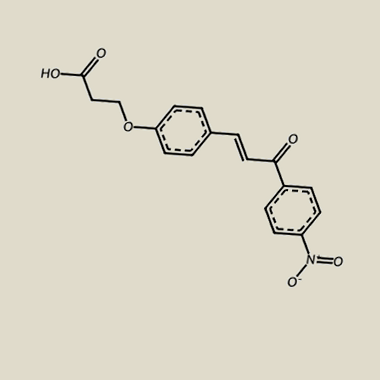 O=C(O)CCOc1ccc(/C=C/C(=O)c2ccc([N+](=O)[O-])cc2)cc1